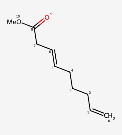 C=CCCC/C=C/CC(=O)OC